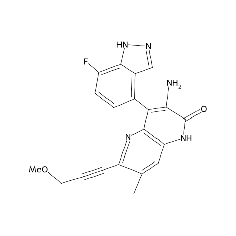 COCC#Cc1nc2c(-c3ccc(F)c4[nH]ncc34)c(N)c(=O)[nH]c2cc1C